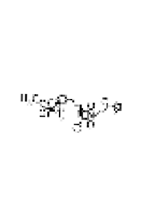 CCOC(=O)C(C)(C)Oc1cccc(CCCn2nc(C3CCCC3)c(=O)n(CCCC(=O)c3cccs3)c2=O)c1